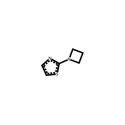 c1csc(N2CCC2)n1